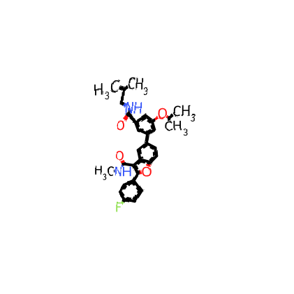 CNC(=O)c1c(-c2ccc(F)cc2)oc2ccc(-c3cc(OC(C)C)cc(C(=O)NCC(C)C)c3)cc12